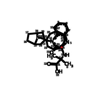 CC(C)(Nc1nc2ccccc2n(C2CC3CCC(C2)N3C2CCCCCCC2)c1=O)C(=O)O